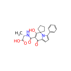 C[C@H](NC(=O)C1=C(O)C2(CCCC2)n2c(ccc2-c2ccccc2)C1=O)C(=O)O